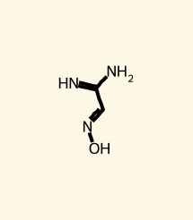 N=C(N)C=NO